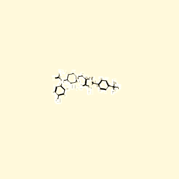 CC(=O)N(c1ccc(Cl)cc1)C1CCN(Cc2nc(-c3ccc(C(F)(F)F)cc3)[nH]c2C)CC1